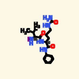 CC(C)[C@H](NI)C(=O)N[C@@H](CCCNC(N)=O)C(=O)Nc1ccccc1